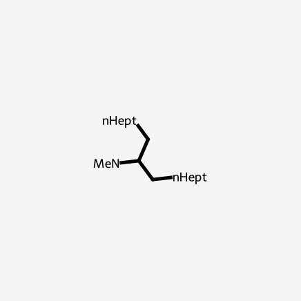 CCCCCCCCC(CCCCCCCC)NC